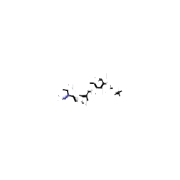 CN/C=C(\C(C)=N)c1cn2ncc(C(=O)Nc3cc(NC(=O)OC(C)(C)C)cnc3C)c2s1